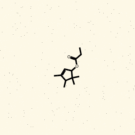 CCC(=O)OC1C=C(C)C(C)C1(C)C